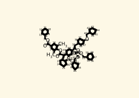 Cc1cc(C(=O)OCc2ccccc2)cc(C)c1OC(=O)c1c2ccccc2[n+](C)c2cc(/C(=C/c3ccc(OCc4ccccc4)cc3)OP(=O)(OCc3ccccc3)OCc3ccccc3)ccc12